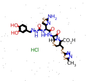 Cc1nnc(SCC2=C(C(=O)O)N3C(=O)C(NC(=O)C(NC(=O)NN=Cc4ccc(O)c(O)c4)c4csc(N)n4)[C@@H]3SC2)s1.Cl